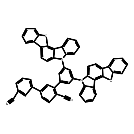 N#Cc1cccc(-c2ccc(C#N)c(-c3cc(-n4c5ccccc5c5c6oc7ccccc7c6ccc54)cc(-n4c5ccccc5c5c6oc7ccccc7c6ccc54)c3)c2)c1